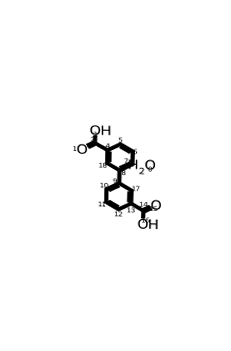 O.O=C(O)c1cccc(-c2cccc(C(=O)O)c2)c1